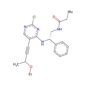 CCOC(C)C#Cc1cnc(Cl)nc1N[C@H](CNC(=O)CC(C)(C)C)c1ccccc1